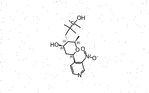 C[C@H]1O[C@@H](c2ccncc2[N+](=O)[O-])C[C@@H](O)[C@@H]1CC(C)(C)[Si](C)(C)O